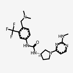 CNc1nccc(N2CC[C@H](NC(=O)Nc3ccc(CN(C)C)c(C(F)(F)F)c3)C2)n1